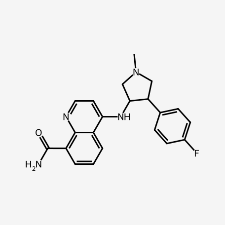 CN1CC(Nc2ccnc3c(C(N)=O)cccc23)C(c2ccc(F)cc2)C1